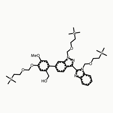 COc1cc(-c2ccc3c(-c4nc5ccccc5n4COCC[Si](C)(C)C)nn(COCC[Si](C)(C)C)c3c2)c(CO)cc1OCOCC[Si](C)(C)C